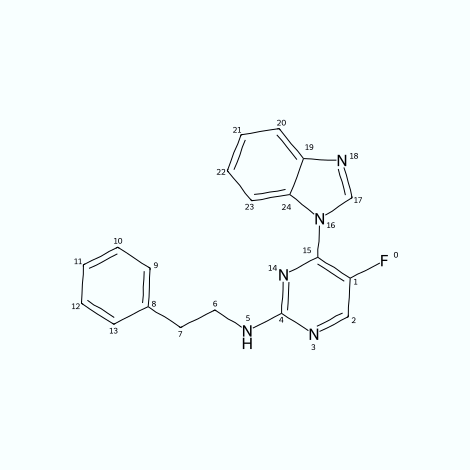 Fc1cnc(NCCc2ccccc2)nc1-n1cnc2ccccc21